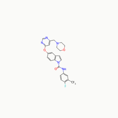 O=C(Nc1ccc(F)c(C(F)(F)F)c1)n1ccc2cc(Oc3cc(CN4CCOCC4)ncn3)ccc21